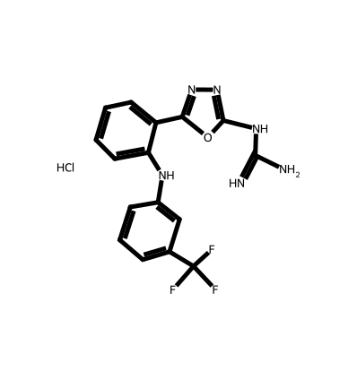 Cl.N=C(N)Nc1nnc(-c2ccccc2Nc2cccc(C(F)(F)F)c2)o1